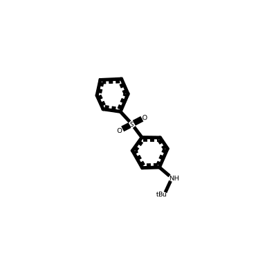 CC(C)(C)Nc1ccc(S(=O)(=O)c2ccccc2)cc1